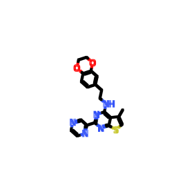 Cc1csc2nc(-c3cnccn3)nc(NCCc3ccc4c(c3)OCCO4)c12